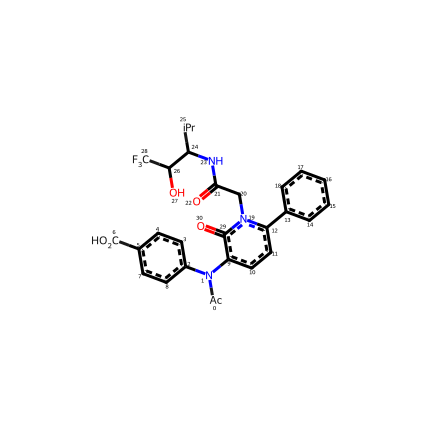 CC(=O)N(c1ccc(C(=O)O)cc1)c1ccc(-c2ccccc2)n(CC(=O)NC(C(C)C)C(O)C(F)(F)F)c1=O